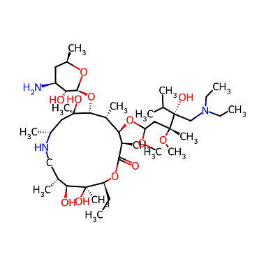 CC[C@@H]1OC(=O)[C@H](C)[C@H](OC(C[C@@](C)(OC)[C@](O)(CN(CC)CC)C(C)C)OC)[C@@H](C)[C@@H](O[C@@H]2O[C@H](C)C[C@H](N)[C@H]2O)[C@](C)(O)C[C@@H](C)NC[C@@H](C)[C@H](O)[C@]1(C)O